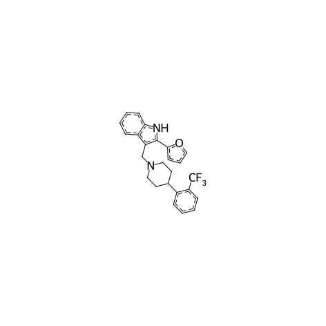 FC(F)(F)c1ccccc1C1CCN(Cc2c(-c3ccco3)[nH]c3ccccc23)CC1